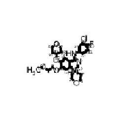 C1COCCN1.COCCOc1cc2ncnc(Nc3ccc(F)c(Cl)c3)c2cc1OC1CCOCC1